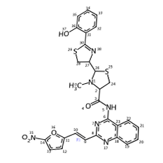 CN1C(C(=O)Nc2nc(/C=C/c3ccc([N+](=O)[O-])o3)nc3ccccc23)CSC1C1CSC(c2ccccc2O)=N1